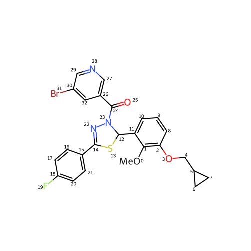 COc1c(OCC2CC2)cccc1C1SC(c2ccc(F)cc2)=NN1C(=O)c1cncc(Br)c1